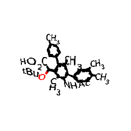 CC(=O)Nc1c(C)c(C(OC(C)(C)C)C(=O)O)c(-c2ccc(C)cc2)c(C)c1-c1ccc(C)c(C)c1